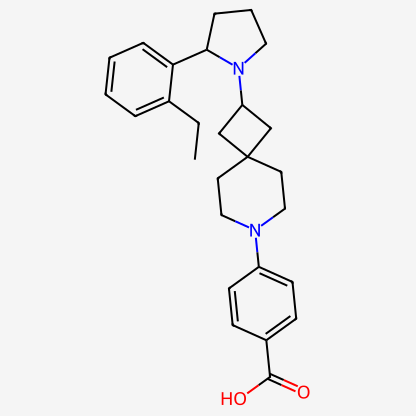 CCc1ccccc1C1CCCN1C1CC2(CCN(c3ccc(C(=O)O)cc3)CC2)C1